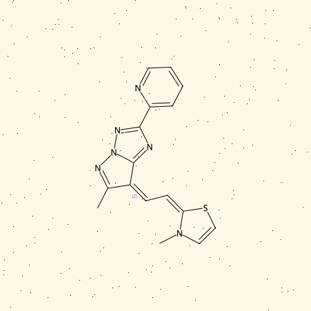 Cc1nn2nc(-c3ccccn3)nc2/c1=C\C=C1SC=CN1C